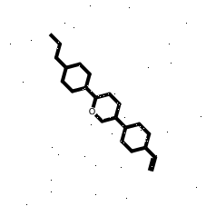 C=CC1CCC(C2CCC(C3CCC(CCC)CC3)OC2)CC1